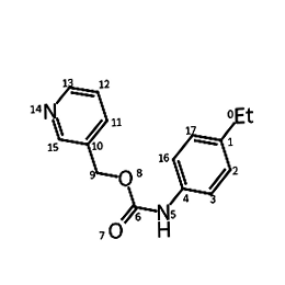 CCc1ccc(NC(=O)OCc2cccnc2)cc1